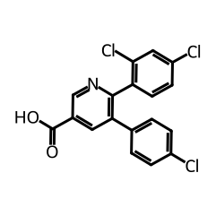 O=C(O)c1cnc(-c2ccc(Cl)cc2Cl)c(-c2ccc(Cl)cc2)c1